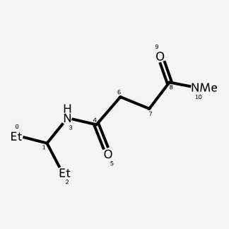 CCC(CC)NC(=O)CCC(=O)NC